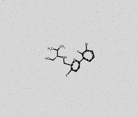 CC(C)[C@H](CO)NCc1nc(-c2cccc(Br)c2F)ccc1F